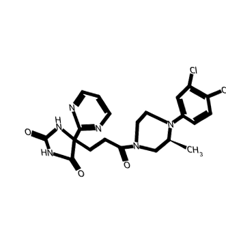 C[C@H]1CN(C(=O)CCC2(c3ncccn3)NC(=O)NC2=O)CCN1c1ccc(Cl)c(Cl)c1